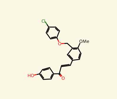 COc1ccc(C=CC(=O)c2ccc(O)cc2)cc1COc1ccc(Cl)cc1